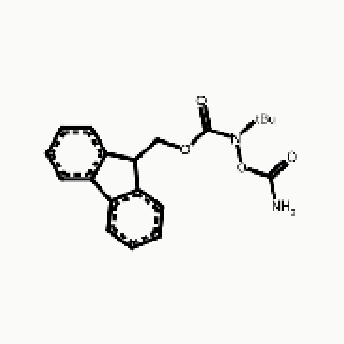 CC(C)(C)N(OC(N)=O)C(=O)OCC1c2ccccc2-c2ccccc21